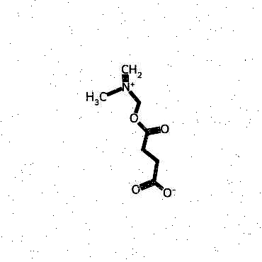 C=[N+](C)COC(=O)CCC(=O)[O-]